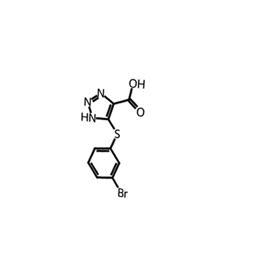 O=C(O)c1nn[nH]c1Sc1cccc(Br)c1